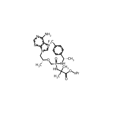 CCCOC(=O)C(C)(C)N[P@@](=O)(CO[C@H](C)Cn1cnc2c(N)ncnc21)N[C@@H](C)c1ccc(C(F)(F)F)cc1